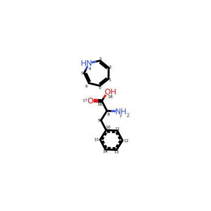 C1=CC=CNC=C1.NC(Cc1ccccc1)C(=O)O